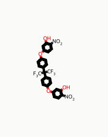 O=[N+]([O-])c1ccc(Oc2ccc(C(c3ccc(Oc4ccc([N+](=O)[O-])c(O)c4)cc3)(C(F)(F)F)C(F)(F)F)cc2)cc1O